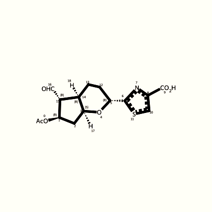 CC(=O)O[C@@H]1C[C@@H]2O[C@@H](c3nc(C(=O)O)cs3)CC[C@@H]2[C@H]1C=O